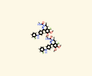 CNC(=O)N1N=C(c2ccc(Nc3ccccc3F)cc2)c2cc(OC)c(OC)c(F)c2CC1C.CNC(=O)N1N=C(c2ccc(Nc3ccccc3F)cc2)c2cc(OC)c(OC)c(F)c2C[C@@H]1C